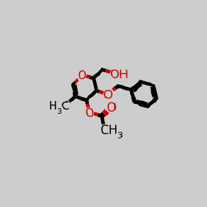 CC(=O)OC1C(C)=COC(CO)C1OCc1ccccc1